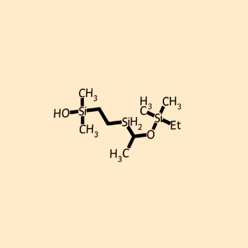 CC[Si](C)(C)OC(C)[SiH2]CC[Si](C)(C)O